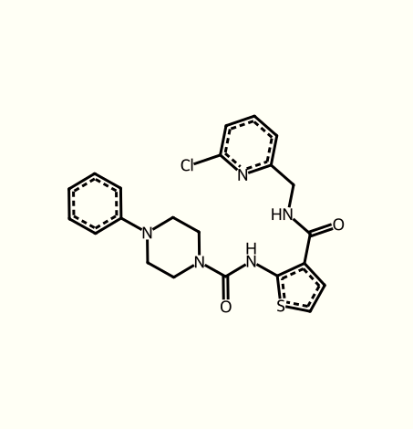 O=C(NCc1cccc(Cl)n1)c1ccsc1NC(=O)N1CCN(c2ccccc2)CC1